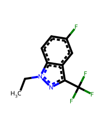 CCn1nc(C(F)(F)F)c2cc(F)ccc21